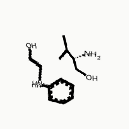 CC(C)[C@H](N)CO.OCCNc1ccccc1